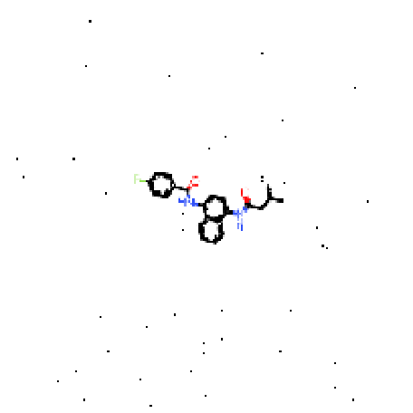 CC(C)CC(=O)Nc1ccc(NC(=O)c2ccc(F)cc2)c2ccccc12